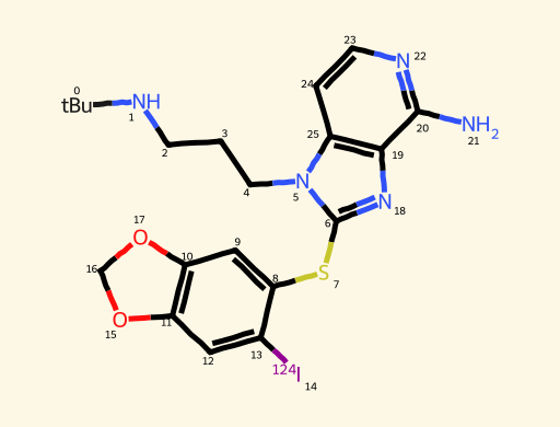 CC(C)(C)NCCCn1c(Sc2cc3c(cc2[124I])OCO3)nc2c(N)nccc21